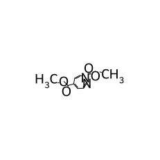 CCOC(=O)C1=CC=NN(C(=O)OCC)C=C1